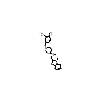 Cn1c(CNC2CCN(Cc3ccc(Cl)c(Cl)c3)CC2)nc2ccccc21